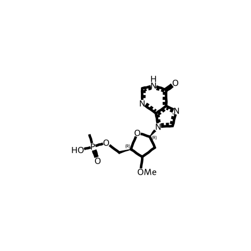 COC1C[C@H](n2cnc3c(=O)[nH]cnc32)O[C@@H]1COP(C)(=O)O